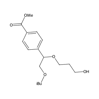 CCC(C)OCC(OCCCO)c1ccc(C(=O)OC)cc1